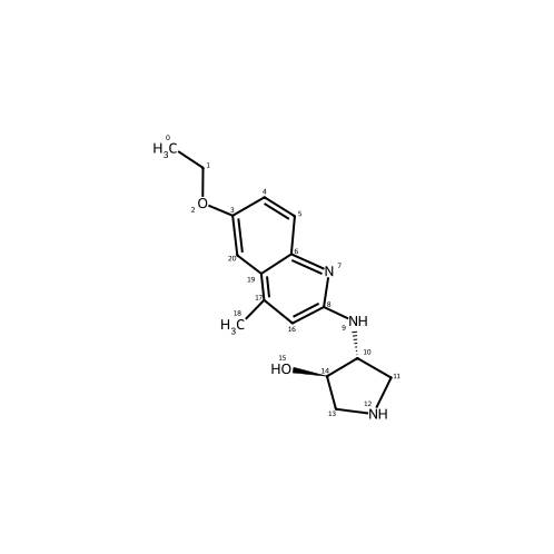 CCOc1ccc2nc(N[C@@H]3CNC[C@H]3O)cc(C)c2c1